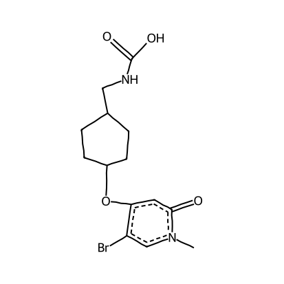 Cn1cc(Br)c(OC2CCC(CNC(=O)O)CC2)cc1=O